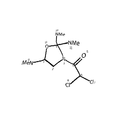 CNC1CN(C(=O)C(Cl)Cl)C(NC)(NC)O1